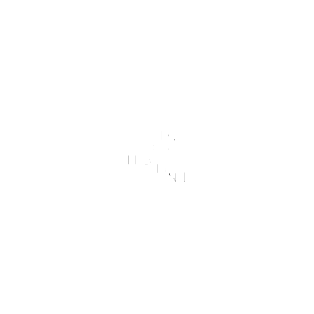 B.[Co].[Dy].[Fe].[Nd]